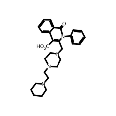 O=C(O)c1c(CN2CCN(CCN3CCCCC3)CC2)n(-c2ccccc2)c(=O)c2ccccc12